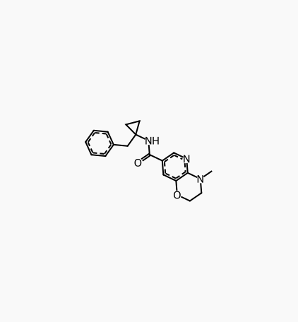 CN1CCOc2cc(C(=O)NC3(Cc4ccccc4)CC3)cnc21